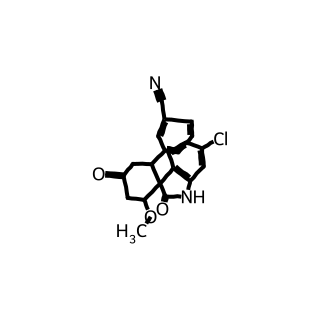 COC1CC(=O)CC(c2cccc(C#N)c2)C12C(=O)Nc1cc(Cl)ccc12